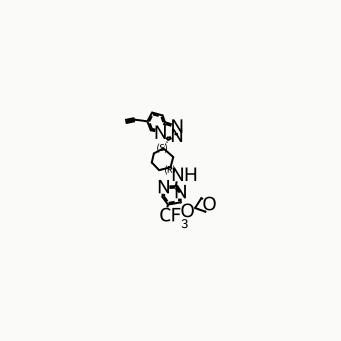 C#Cc1ccc2nnc([C@H]3CCC[C@@H](Nc4ncc(C(F)(F)F)c(OC5COC5)n4)C3)n2c1